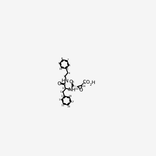 O=C(NCCc1ccccc1)C(Cc1ccccc1)NC(=O)[C@H]1O[C@@H]1C(=O)O